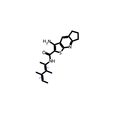 C/C=C(C)\C(C)=C(/C)NC(=O)c1sc2nc3c(cc2c1N)CCC3